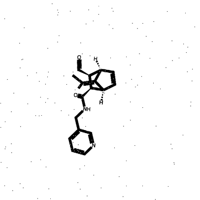 CC(C)=C1[C@H]2C=C[C@@H]1[C@H](C=O)[C@@H]2C(=O)NCc1cccnc1